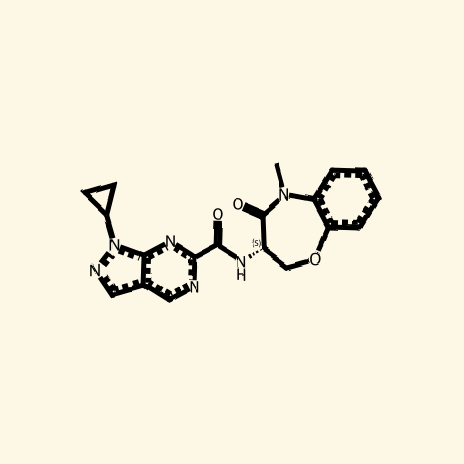 CN1C(=O)[C@@H](NC(=O)c2ncc3cnn(C4CC4)c3n2)COc2ccccc21